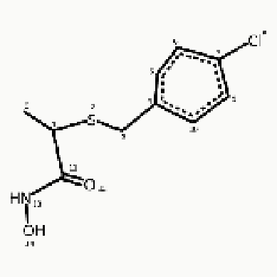 CC(SCc1ccc(Cl)cc1)C(=O)NO